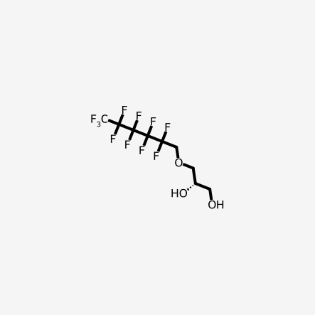 OC[C@H](O)COCC(F)(F)C(F)(F)C(F)(F)C(F)(F)C(F)(F)F